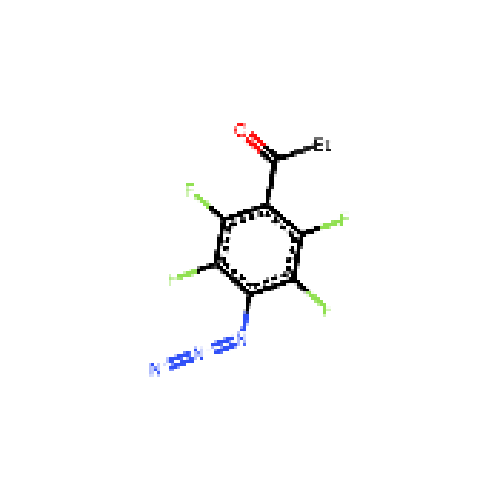 CCC(=O)c1c(F)c(F)c(N=[N+]=[N-])c(F)c1F